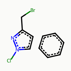 Cln1ccc(CBr)n1.c1ccccc1